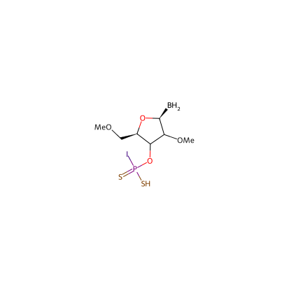 B[C@@H]1O[C@H](COC)C(OP(=S)(S)I)C1OC